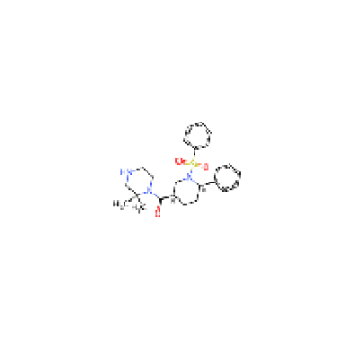 CC1(C)CNCCN1C(=O)[C@@H]1CC[C@H](c2ccccc2)N(S(=O)(=O)c2ccccc2)C1